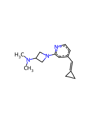 CN(C)C1CN(c2cc(C=C3CC3)ccn2)C1